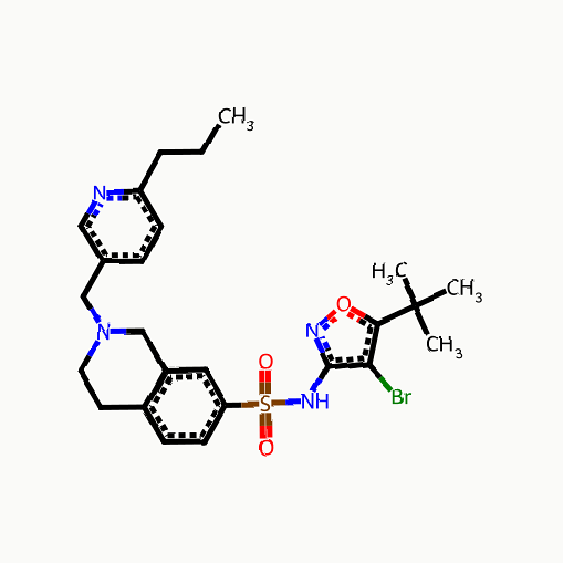 CCCc1ccc(CN2CCc3ccc(S(=O)(=O)Nc4noc(C(C)(C)C)c4Br)cc3C2)cn1